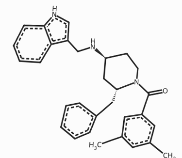 Cc1cc(C)cc(C(=O)N2CC[C@H](NCc3c[nH]c4ccccc34)C[C@H]2Cc2ccccc2)c1